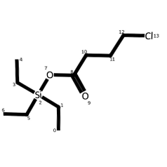 CC[Si](CC)(CC)OC(=O)CCCCl